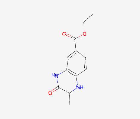 CCOC(=O)c1ccc2c(c1)NC(=O)C(C)N2